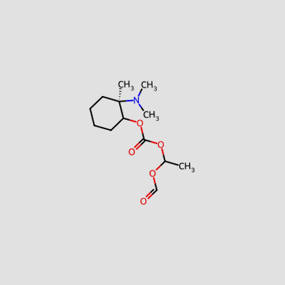 CC(OC=O)OC(=O)OC1CCCC[C@@]1(C)N(C)C